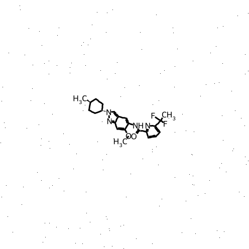 COc1cc2nn([C@H]3CC[C@H](C)CC3)cc2cc1NC(=O)c1cccc(C(C)(F)F)n1